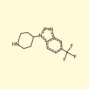 FC(F)(F)c1ccc2c(c1)ncn2C1CCNCC1